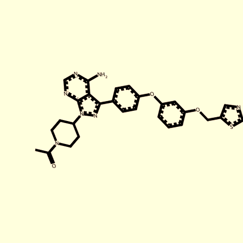 CC(=O)N1CCC(n2nc(-c3ccc(Oc4cccc(OCc5cncs5)c4)cc3)c3c(N)ncnc32)CC1